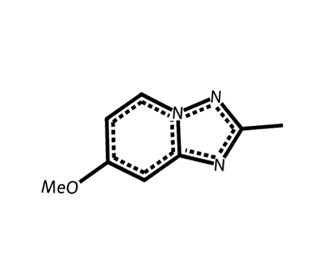 COc1ccn2nc(C)nc2c1